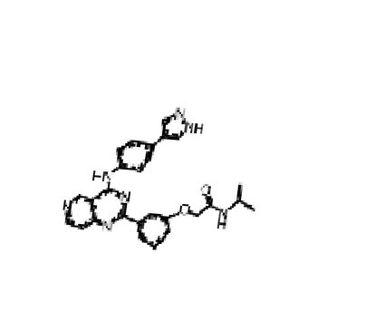 CC(C)NC(=O)COc1cccc(-c2nc(Nc3ccc(-c4cn[nH]c4)cc3)c3cnccc3n2)c1